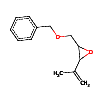 C=C(C)C1OC1COCc1ccccc1